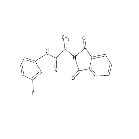 CN(C(=S)Nc1cccc(F)c1)N1C(=O)c2ccccc2C1=O